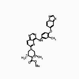 Cc1cc(Nc2ncnc3ccc(N4C[C@@H](C)N(C(=O)OC(C)(C)C)[C@H](C)C4)nc23)ccc1Oc1ccn2ncnc2c1